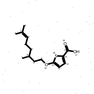 CC(C)=CCCC(C)CCOc1ccc(C(=O)O)s1